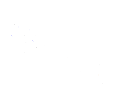 CCOCc1nc2c(N)nc3ccccc3c2n1CCOCCOCCOCCP(O)O